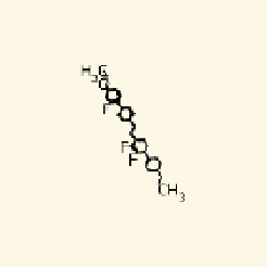 CCCC1CC=C(C2CC=C(CCc3ccc(-c4ccc(OCC)cc4F)cc3)C(F)=C2F)CC1